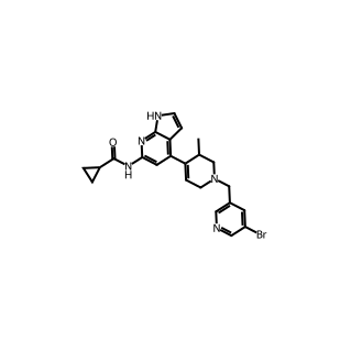 CC1CN(Cc2cncc(Br)c2)CC=C1c1cc(NC(=O)C2CC2)nc2[nH]ccc12